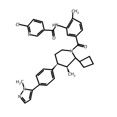 Cc1ccc(C(=O)N2CC[C@H](c3ccc(-c4ccnn4C)cc3)[C@H](C)C2C2CCC2)cc1NC(=O)c1ccc(Cl)nc1